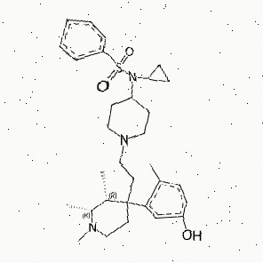 Cc1ccc(O)cc1C1(CCN2CCC(N(C3CC3)S(=O)(=O)c3ccccc3)CC2)CCN(C)[C@H](C)[C@@H]1C